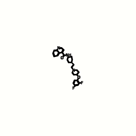 O=C(N[C@H]1CC[C@H](CCN2CCC(Oc3ccc(F)cc3F)CC2)CC1)c1ccnc2ccccc12